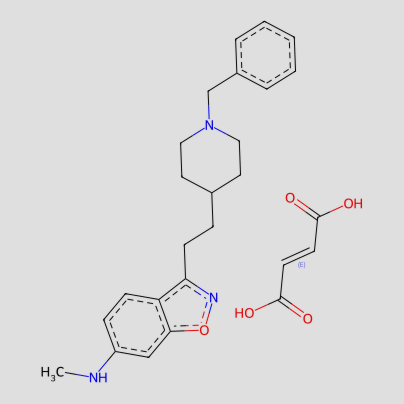 CNc1ccc2c(CCC3CCN(Cc4ccccc4)CC3)noc2c1.O=C(O)/C=C/C(=O)O